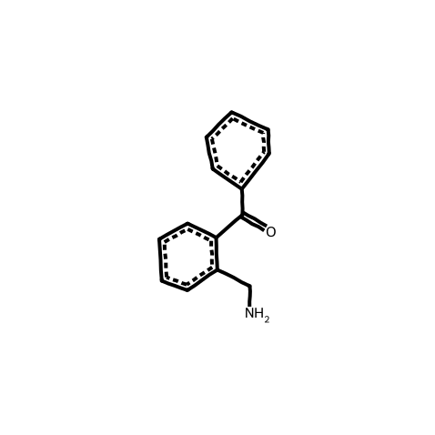 NCc1ccccc1C(=O)c1ccccc1